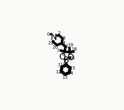 CN1CCC(CC2(C)OB(c3ccccc3)OC2(C)C)CC1